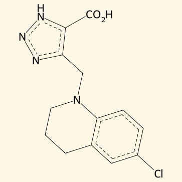 O=C(O)c1[nH]nnc1CN1CCCc2cc(Cl)ccc21